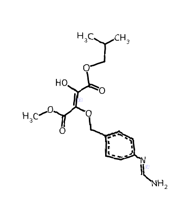 COC(=O)/C(OCc1ccc(/N=C/N)cc1)=C(\O)C(=O)OCC(C)C